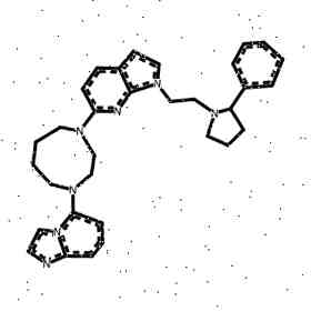 c1ccc(C2CCCN2CCn2ccc3ccc(N4CCCCN(c5cccc6nccn56)CC4)nc32)cc1